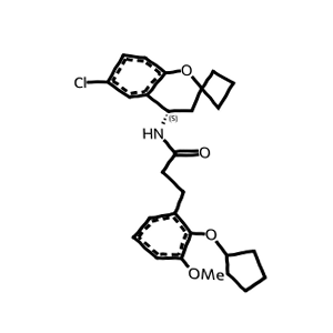 COc1cccc(CCC(=O)N[C@H]2CC3(CCC3)Oc3ccc(Cl)cc32)c1OC1CCCC1